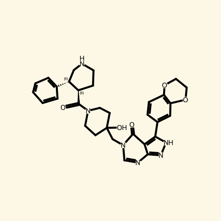 O=C([C@@H]1CCNC[C@H]1c1ccccc1)N1CCC(O)(Cn2cnc3n[nH]c(-c4ccc5c(c4)OCCO5)c3c2=O)CC1